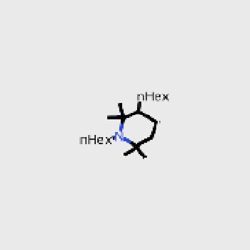 CCCCCCC1[CH]CC(C)(C)N(CCCCCC)C1(C)C